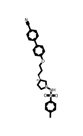 Cc1ccc(S(=O)(=O)NN2CC[C@@H](CCCOc3ccc(-c4ccc(C#N)cc4)cc3)C2)cc1